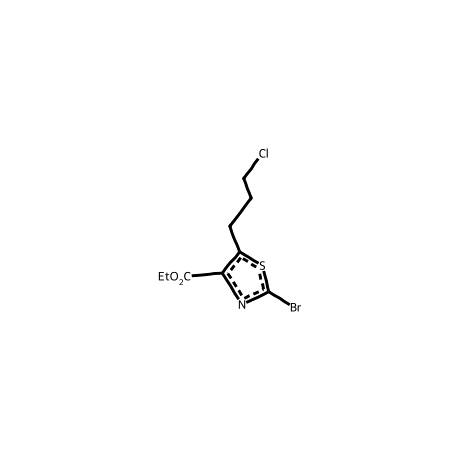 CCOC(=O)c1nc(Br)sc1CCCCl